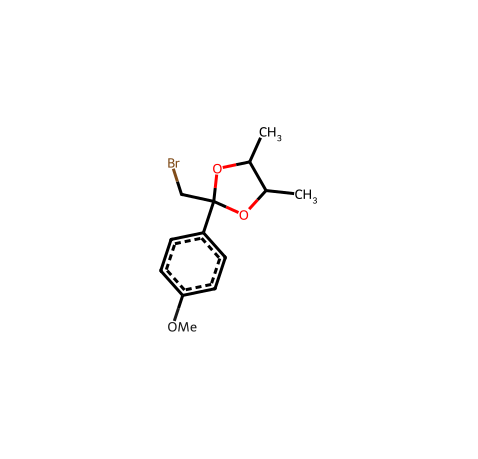 COc1ccc(C2(CBr)OC(C)C(C)O2)cc1